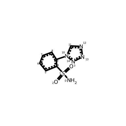 NS(=O)(=O)c1ccccc1-n1cnnn1